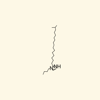 CCCC[n+]1cc[nH]c1CCCCCCCCCCCCCCC(C)C